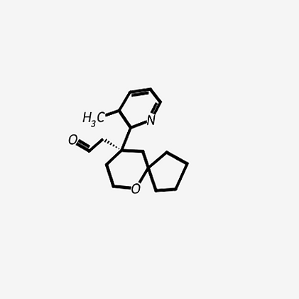 CC1C=CC=NC1[C@]1(CC=O)CCOC2(CCCC2)C1